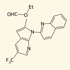 CCOC=O.Cc1cc2cc(C(F)(F)F)cnc2n1-c1ccc2ccccc2n1